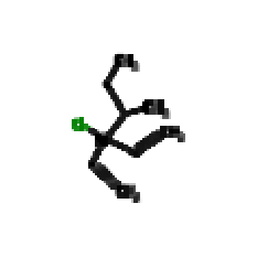 C=C[Si](Cl)(C=C)C(C)CC